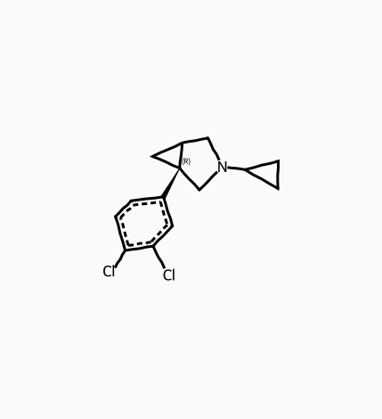 Clc1ccc([C@@]23CC2CN(C2CC2)C3)cc1Cl